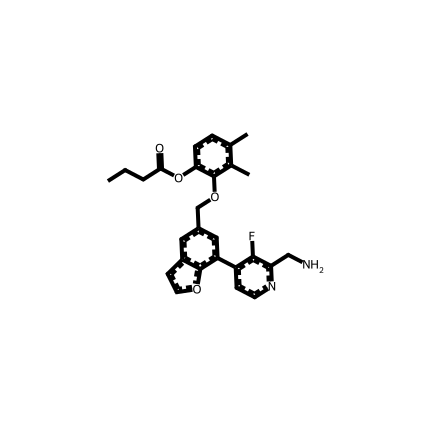 CCCC(=O)Oc1ccc(C)c(C)c1OCc1cc(-c2ccnc(CN)c2F)c2occc2c1